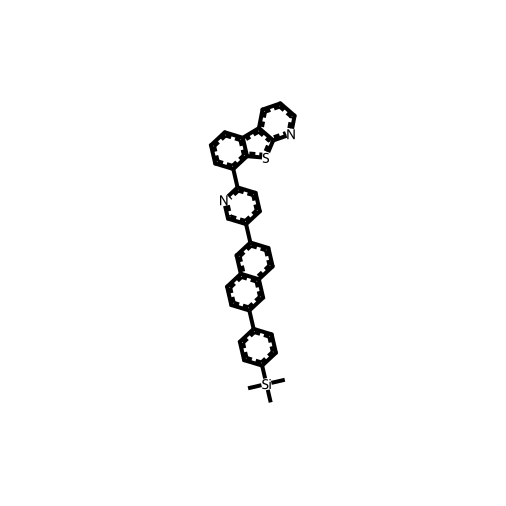 C[Si](C)(C)c1ccc(-c2ccc3cc(-c4ccc(-c5cccc6c5sc5ncccc56)nc4)ccc3c2)cc1